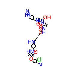 CC(C)(C)[C@H](NC(=O)COCCCCCNc1ccc(C(=O)N[C@H]2C(C)(C)[C@H](Oc3ccc(C#N)c(Cl)c3)C2(C)C)cc1)C(=O)N1C[C@H](O)C[C@H]1C(=O)NCc1ccc(-n2cncn2)cc1